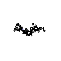 CCC(C)/C=C(/c1cc2nccc(Oc3ccc(C)cc3F)c2s1)C(C)CC